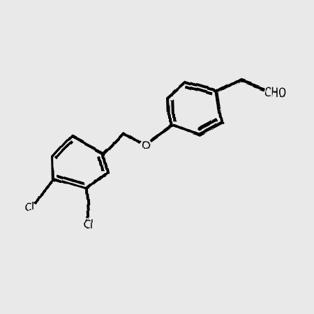 O=CCc1ccc(OCc2ccc(Cl)c(Cl)c2)cc1